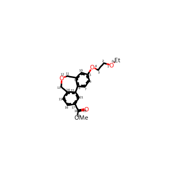 CCOCCOc1ccc2c(c1)COCc1ccc(C(=O)OC)cc1-2